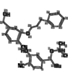 C[SiH](C)OC(c1ccc(C#N)c(O)c1)C(C)(C)C.N#Cc1ccc(CO)cc1OCCCc1ccccc1